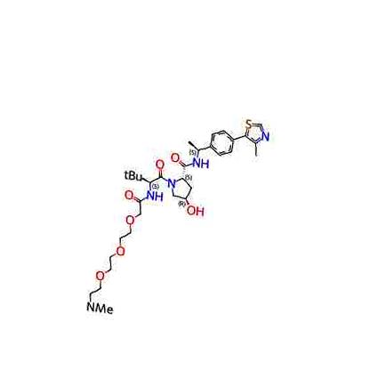 CNCCOCCOCCOCC(=O)N[C@H](C(=O)N1C[C@H](O)C[C@H]1C(=O)N[C@@H](C)c1ccc(-c2scnc2C)cc1)C(C)(C)C